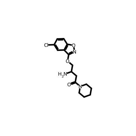 NC(COc1noc2ccc(Cl)cc12)CC(=O)N1CCCCC1